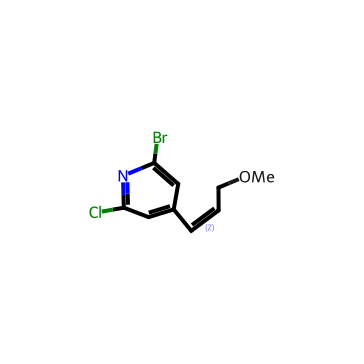 COC/C=C\c1cc(Cl)nc(Br)c1